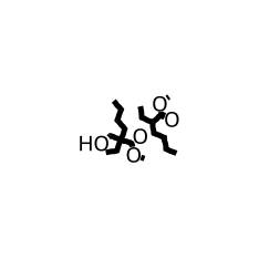 CCCCC(CC)(CO)C(=O)OC.CCCCC(CC)C(=O)OC